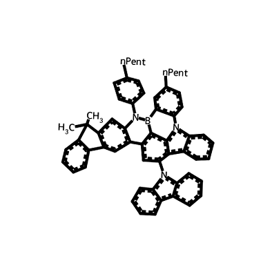 CCCCCc1ccc(N2B3c4cc(CCCCC)ccc4-n4c5ccccc5c5c(-n6c7ccccc7c7ccccc76)cc(c3c54)-c3cc4c(cc32)C(C)(C)c2ccccc2-4)cc1